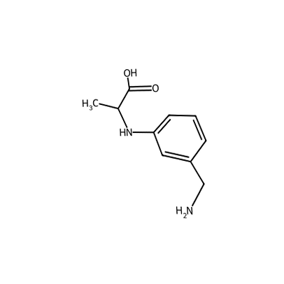 CC(Nc1cccc(CN)c1)C(=O)O